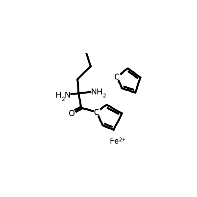 CCCC(N)(N)C(=O)[c-]1cccc1.[Fe+2].c1cc[cH-]c1